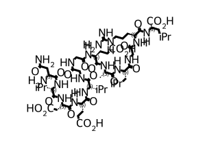 CC(C)C[C@H](NC(=O)[C@H](CCCNC(=N)N)NC(=O)CNC(=O)[C@H](CC(C)C)NC(=O)[C@H](C)NC(=O)[C@H](CCC(=O)O)NC(=O)CNC(=O)CNC(=O)[C@@H](NC(=O)[C@H](CCC(=O)O)NC(=O)[C@H](CC(=O)O)NC(=O)[C@@H](NC(=O)[C@@H](N)CC(N)=O)C(C)C)C(C)C)C(=O)O